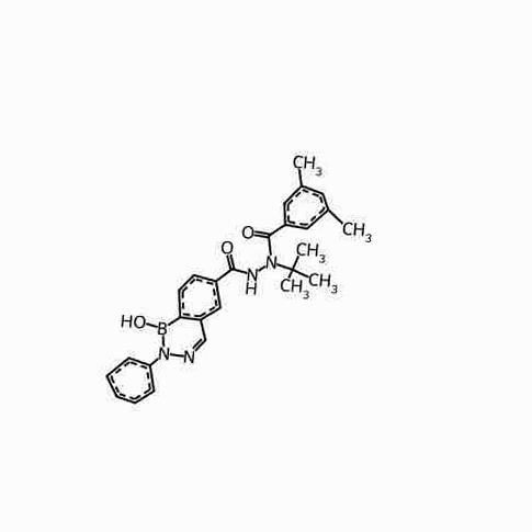 Cc1cc(C)cc(C(=O)N(NC(=O)c2ccc3c(c2)C=NN(c2ccccc2)B3O)C(C)(C)C)c1